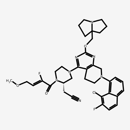 COC/C=C(\F)C(=O)N1CCN(c2nc(OCC34CCCN3CCC4)nc3c2CCN(c2cccc4ccc(F)c(Cl)c24)C3)C[C@@H]1CC#N